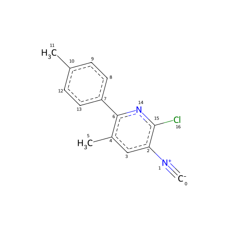 [C-]#[N+]c1cc(C)c(-c2ccc(C)cc2)nc1Cl